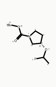 CC(F)O[C@H]1CCN(C(=O)OC(C)(C)C)C1